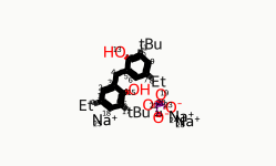 CCc1cc(Cc2cc(CC)cc(C(C)(C)C)c2O)c(O)c(C(C)(C)C)c1.O=P([O-])([O-])[O-].[Na+].[Na+].[Na+]